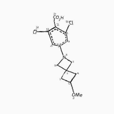 COC1CC2(C1)CN(c1cc(Cl)c(C(=O)O)c(Cl)c1)C2